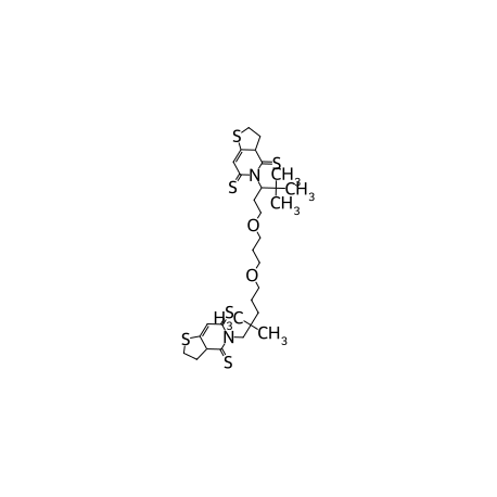 CC(C)(CCCOCCCOCCC(N1C(=S)C=C2SCCC2C1=S)C(C)(C)C)CN1C(=S)C=C2SCCC2C1=S